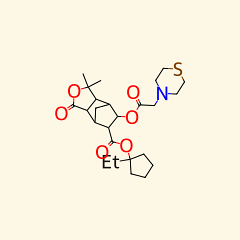 CCC1(OC(=O)C2C3CC(C2OC(=O)CN2CCSCC2)C2C3C(=O)OC2(C)C)CCCC1